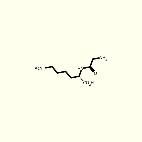 CC(=O)NCCCC[C@H](NC(=O)CN)C(=O)O